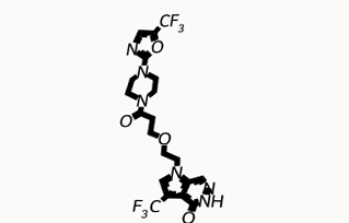 O=C(CCOCCn1cc(C(F)(F)F)c2c(=O)[nH]ncc21)N1CCN(c2ncc(C(F)(F)F)o2)CC1